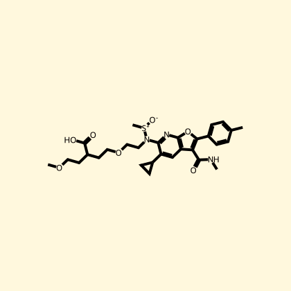 CNC(=O)c1c(-c2ccc(C)cc2)oc2nc(N(CCOCCC(CCOC)C(=O)O)[S+](C)[O-])c(C3CC3)cc12